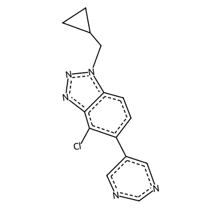 Clc1c(-c2cncnc2)ccc2c1nnn2CC1CC1